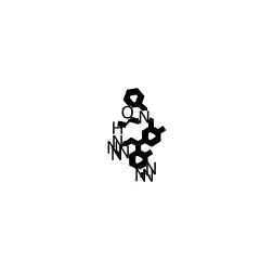 CC[C@@H]1CN(Cc2cc(C(Cc3nnn[nH]3)c3ccc4c(nnn4C)c3C)ccc2C)Cc2ccccc2O1